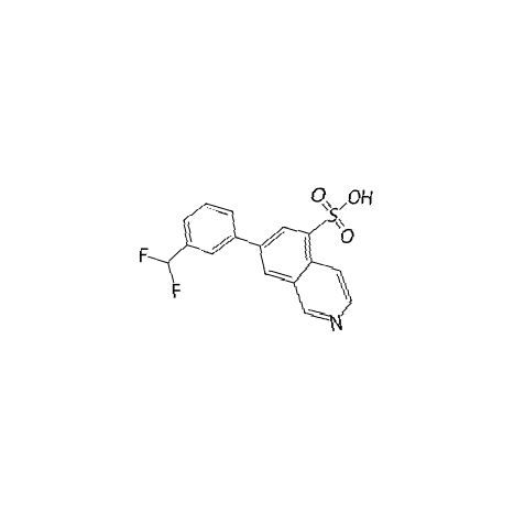 O=S(=O)(O)c1cc(-c2cccc(C(F)F)c2)cc2cnccc12